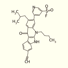 C#Cc1ccc2c(c1)[nH]c1c2c(=O)c2cc(CC(C)C)c(-c3cncc(S(=O)(=O)F)c3)cc2n1CCCC